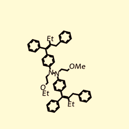 CCOCCN(c1ccc(C(=C(CC)Cc2ccccc2)c2ccccc2)cc1)N(CCOC)c1ccc(C(=C(CC)Cc2ccccc2)c2ccccc2)cc1